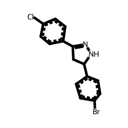 Clc1ccc(C2=NNC(c3ccc(Br)cc3)C2)cc1